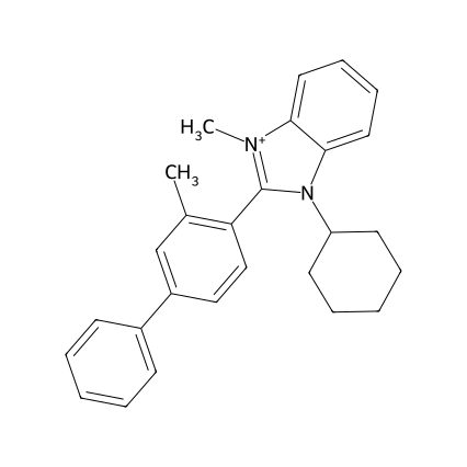 Cc1cc(-c2ccccc2)ccc1-c1n(C2CCCCC2)c2ccccc2[n+]1C